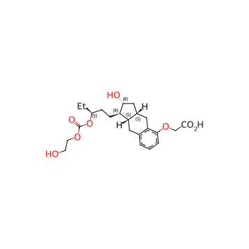 CC[C@@H](CC[C@@H]1[C@H]2Cc3cccc(OCC(=O)O)c3C[C@H]2C[C@H]1O)OC(=O)OCCO